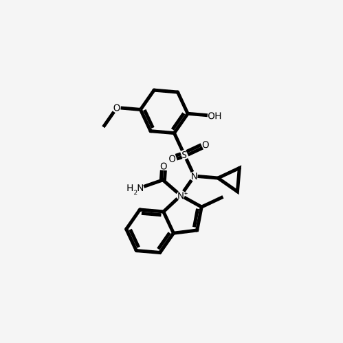 COC1=CC(S(=O)(=O)N(C2CC2)[N+]2(C(N)=O)C(C)=Cc3ccccc32)=C(O)CC1